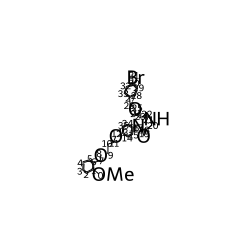 COc1ccccc1COCCCOc1ccc(N2C(=O)CNC[C@@H]2COCc2ccc(Br)cc2)cc1